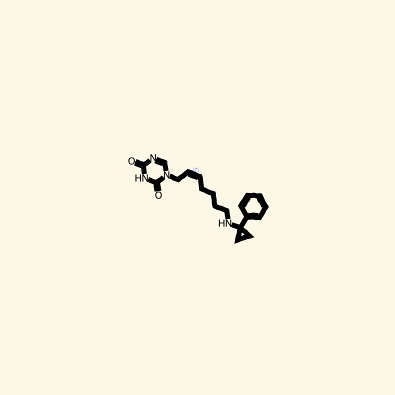 O=c1ncn(C/C=C\CCCCNC2(c3ccccc3)CC2)c(=O)[nH]1